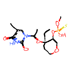 CC[C@]1(OC(C)n2cc(C)c(=O)[nH]c2=O)CCOCC1OP(O)(=S)OC